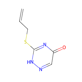 C=CCSc1nc(=O)cn[nH]1